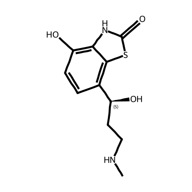 CNCC[C@H](O)c1ccc(O)c2[nH]c(=O)sc12